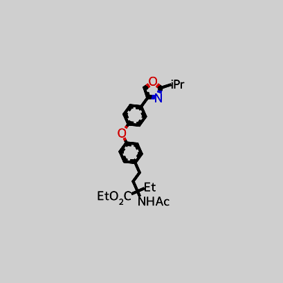 CCOC(=O)C(CC)(CCc1ccc(Oc2ccc(-c3coc(C(C)C)n3)cc2)cc1)NC(C)=O